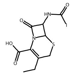 CCC1=C(C(=O)O)N2C(=O)C(NC(=O)I)C2SC1